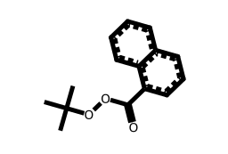 CC(C)(C)OOC(=O)c1cccc2ccccc12